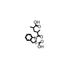 CC(CC(C)C(=O)N1c2ccccc2C[C@H]1C(=O)O)C(=O)O